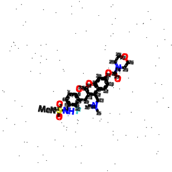 CNS(=O)(=O)Nc1cccc(Cc2c(CN(C)C)c3ccc(OC(=O)N4CCOCC4)cc3oc2=O)c1F